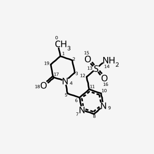 CC1CCN(Cc2ncncc2CS(N)(=O)=O)C(=O)C1